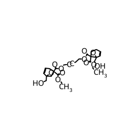 CCOC(=O)C1(C(=O)OCCCCCOC(=O)C2(C(=O)OCC)CC3C=CC2(CO)O3)CC2(CO)C=CC1O2